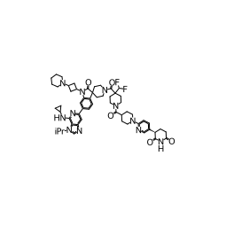 CC(C)n1cnc2cc(-c3ccc4c(c3)N(C3CC(N5CCCCC5)C3)C(=O)C43CCN(C(=O)C4(C(F)F)CCN(C(=O)C5CCN(c6ccc([C@H]7CCC(=O)NC7=O)cn6)CC5)CC4)CC3)nc(NC3CC3)c21